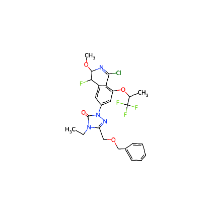 CCn1c(COCc2ccccc2)nn(-c2cc(OC(C)C(F)(F)F)c3c(c2)C(F)C(OC)N=C3Cl)c1=O